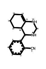 N#Cc1ccccc1C1NCNC2=CCCCC21